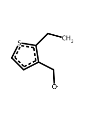 CCc1sccc1C[O]